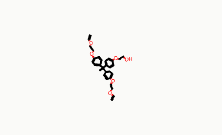 C=COCCOc1ccc(C(C)(c2ccc(OCCO)cc2)c2ccc(OCCOC=C)cc2)cc1